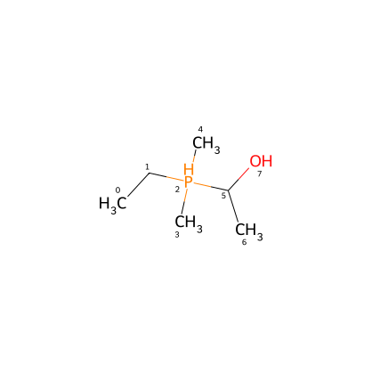 CC[PH](C)(C)C(C)O